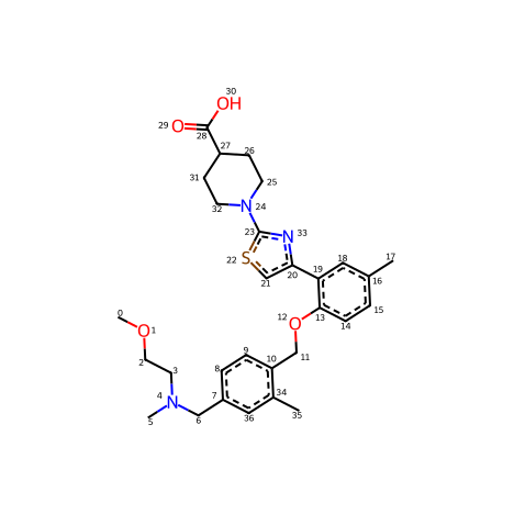 COCCN(C)Cc1ccc(COc2ccc(C)cc2-c2csc(N3CCC(C(=O)O)CC3)n2)c(C)c1